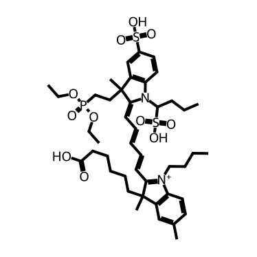 CCCC[N+]1=C(C=CC=CC=C2N(C(CCC)S(=O)(=O)O)c3ccc(S(=O)(=O)O)cc3C2(C)CCP(=O)(OCC)OCC)C(C)(CCCCCC(=O)O)c2cc(C)ccc21